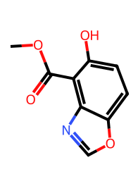 COC(=O)c1c(O)ccc2ocnc12